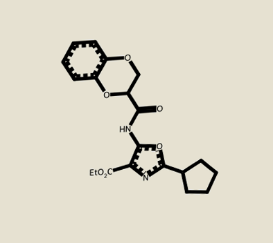 CCOC(=O)c1nc(C2CCCC2)oc1NC(=O)C1COc2ccccc2O1